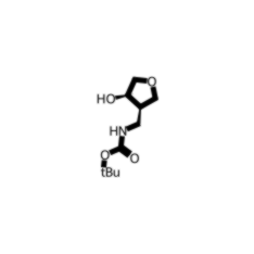 CC(C)(C)OC(=O)NC[C@@H]1COC[C@@H]1O